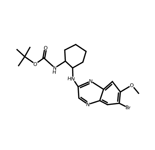 COc1cc2nc(NC3CCCCC3NC(=O)OC(C)(C)C)cnc2cc1Br